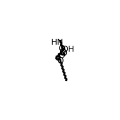 CCCCCCCCCCCCCOc1cccc(CC(COP(O)OCCCNC)OC(C)=O)c1